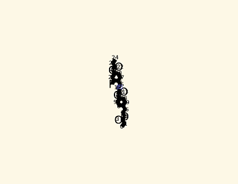 C=CC(=O)OCCc1ccc(OC(=O)/C=C/C2C=CC(OC(=O)C=C)=CC2F)cc1